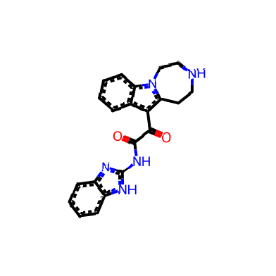 O=C(Nc1nc2ccccc2[nH]1)C(=O)c1c2n(c3ccccc13)CCNCC2